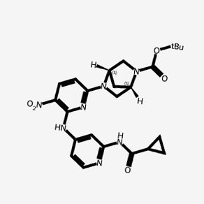 CC(C)(C)OC(=O)N1C[C@@H]2C[C@H]1CN2c1ccc([N+](=O)[O-])c(Nc2ccnc(NC(=O)C3CC3)c2)n1